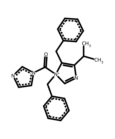 CC(C)C1=C(Cc2ccccc2)[N+](Cc2ccccc2)(C(=O)n2ccnc2)C=N1